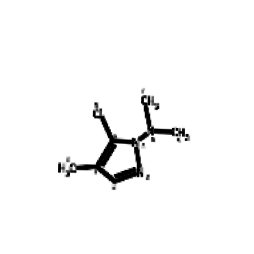 Cc1cnn(N(C)C)c1Cl